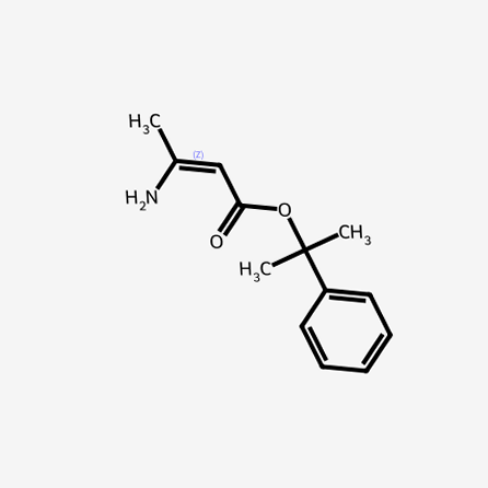 C/C(N)=C/C(=O)OC(C)(C)c1ccccc1